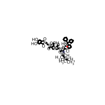 CC(C)(C)OC(=O)C(C)(C)O/N=C(\C(=O)N[C@H]1CN2CC(C(=O)NCCN3C(=O)c4cc(O)c(O)cc4C3=O)=C(C(=O)O)N2C1=O)c1nc(NC(c2ccccc2)(c2ccccc2)c2ccccc2)sc1Cl